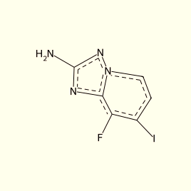 Nc1nc2c(F)c(I)ccn2n1